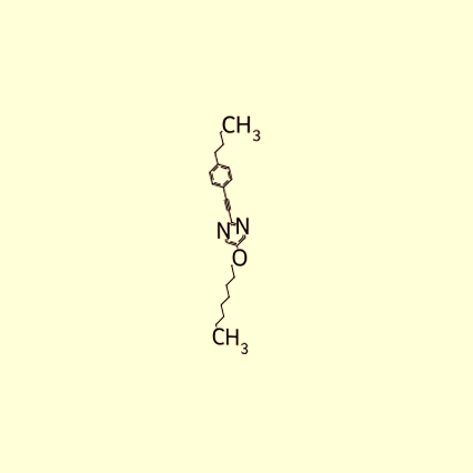 CCCCCCCCOc1cnc(C#Cc2ccc(CCCC)cc2)nc1